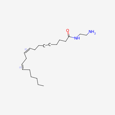 CCCCC/C=C\C/C=C\CCCCCCCC(=O)NCCN